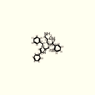 CC(C)(C)[C@H](c1nc(-c2ccccc2)cn1Cc1ccccc1)N(C[C@@H](O)CN)C(=O)c1ccccc1